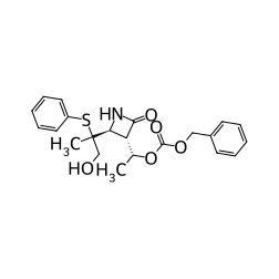 CC(OC(=O)OCc1ccccc1)[C@H]1C(=O)N[C@@H]1C(C)(CO)Sc1ccccc1